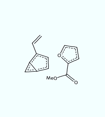 C=Cc1ccc2cc1-2.COC(=O)c1ccco1